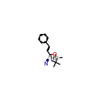 C[SiH](O[C@H](C#N)C=Cc1ccccc1)C(C)(C)C